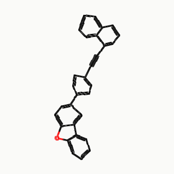 C(#Cc1cccc2ccccc12)c1ccc(-c2ccc3oc4ccccc4c3c2)cc1